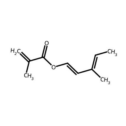 C=C(C)C(=O)OC=CC(C)=CC